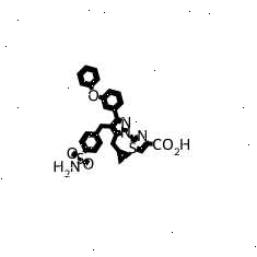 NS(=O)(=O)c1ccc(Cc2c(-c3cccc(Oc4ccccc4)c3)nn(-c3nc(C(=O)O)cs3)c2CC2CC2)cc1